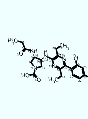 CCC(=O)N[C@H]1CN(C(=O)O)C[C@H]1Nc1nc(CC)c(-c2ccc(Cl)cc2Cl)nc1CC